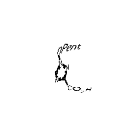 CCCCCn1cnc(C(=O)O)n1